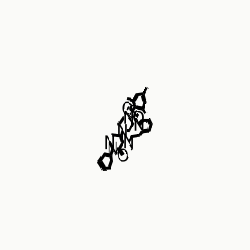 Cc1cc(C)c(S(=O)(=O)N2CCN(c3cnn(-c4ccccc4)c(=O)c3N(C)CCc3ccccn3)CC2)c(C)c1